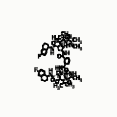 C=C(C)[C@H](NC(=O)[C@H](C)NC)C(=O)N1C[C@@H](NC(=O)c2cccc(C(=O)N[C@H]3C[C@@H](C(=O)NC4CCCc5cc(F)ccc54)N(C(=O)[C@@H](NC(=O)[C@H](C)NC)C(C)(C)C)C3)c2)C[C@H]1C(=O)NC1CCCc2cc(F)ccc21